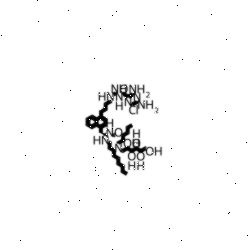 CCCCCCC(CCN[C@@H](Cc1ccc(CCCCNC(=N)NC(=O)c2nc(Cl)c(N)nc2N)c2ccccc12)NC=O)N(CCCCCC)C[C@H](O)[C@@H](O)[C@H](O)[C@H](O)CO